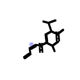 C=C/C=C\NC(=CC(NC)C(C)C)C(C)C